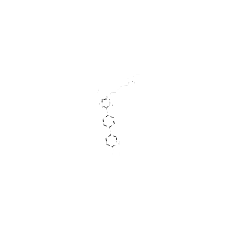 CCOc1nc(-c2ccc(-c3ccc(C)nc3)cc2)nn1COCC[Si](C)(C)C